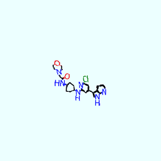 O=C(CN1CCOCC1)NC1CCC(Nc2cc(-c3c[nH]c4ncccc34)cc(Cl)n2)CC1